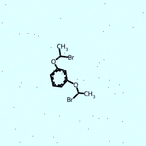 CC(Br)Oc1cccc(OC(C)Br)c1